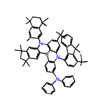 Cc1cc2c(cc1N1c3cc4c(cc3B3c5ccc(N(c6ccccc6)c6ccccc6)cc5N(c5ccc(C(C)(C)C)c6c5-c5ccccc5C6(C)C)c5cc(C(C)(C)C)cc1c53)C(C)(C)CC4(C)C)C(C)(C)CCC2(C)C